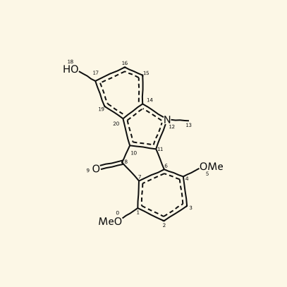 COc1ccc(OC)c2c1C(=O)c1c-2n(C)c2ccc(O)cc12